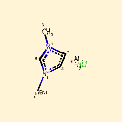 CCCC[n+]1ccn(C)c1.Cl.[AlH3]